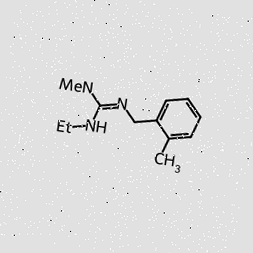 CCNC(=NCc1ccccc1C)NC